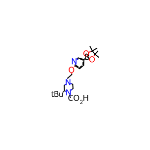 CC(C)(C)C1CN(CCOc2ccc(B3OC(C)(C)C(C)(C)O3)cn2)CCN1C(=O)O